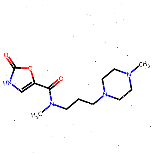 CN1CCN(CCCN(C)C(=O)c2c[nH]c(=O)o2)CC1